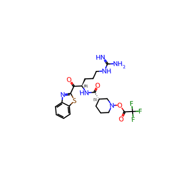 N=C(N)NCCC[C@@H](NC(=O)[C@H]1CCCN(OC(=O)C(F)(F)F)C1)C(=O)c1nc2ccccc2s1